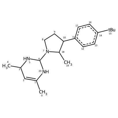 CC1=CC(C)NC(N2CCC(c3ccc(C(C)(C)C)cc3)C2C)N1